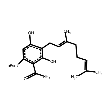 CCCCCc1cc(O)c(C/C=C(\C)CCC=C(C)C)c(O)c1C(N)=O